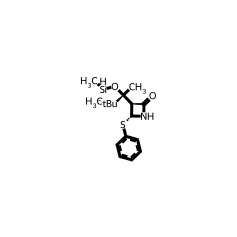 C[SiH](C)O[C@](C)([C@H]1C(=O)N[C@@H]1Sc1ccccc1)C(C)(C)C